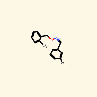 FC(F)(F)c1cccc(/[C]=N\OCc2ccccc2C(F)(F)F)c1